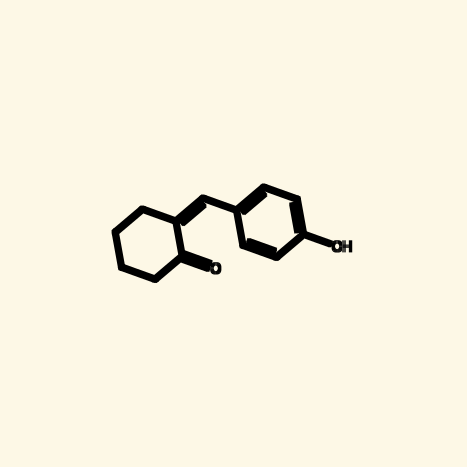 O=C1CCCCC1=Cc1ccc(O)cc1